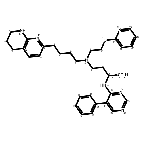 O=C(O)[C@H](CCN(CCCCc1ccc2c(n1)NCCC2)CCOc1ccccn1)Nc1ncncc1-c1ccccc1